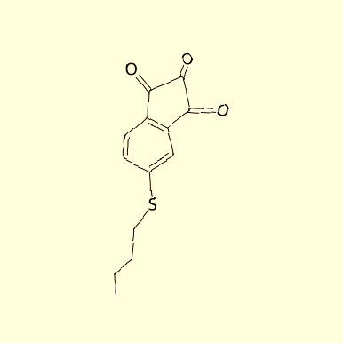 CCCCSc1ccc2c(=O)c(=O)c(=O)c2c1